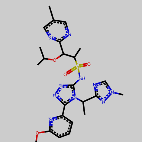 COc1cccc(-c2nnc(NS(=O)(=O)C(C)C(OC(C)C)c3ncc(C)cn3)n2C(C)c2ncn(C)n2)n1